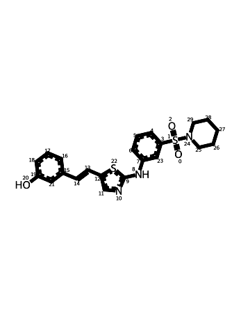 O=S(=O)(c1cccc(Nc2ncc(/C=C/c3cccc(O)c3)s2)c1)N1CCCCC1